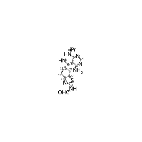 CC(C)Nc1ncnc(N)c1C(=N)c1ccc2nc(NC=O)sc2c1